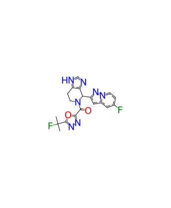 CC(C)(F)c1nnc(C(=O)N2CCc3[nH]cnc3C2c2cc3cc(F)ccn3n2)o1